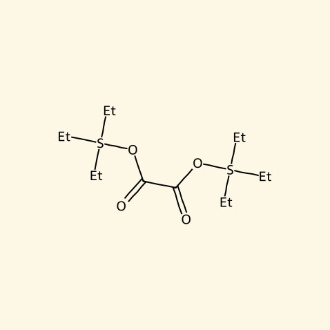 CCS(CC)(CC)OC(=O)C(=O)OS(CC)(CC)CC